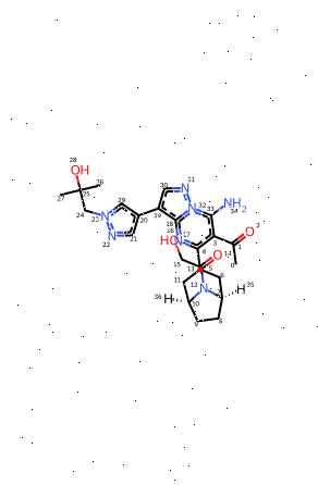 CC(=O)c1c(C2C[C@H]3CC[C@@H](C2)N3C(=O)CO)nc2c(-c3cnn(CC(C)(C)O)c3)cnn2c1N